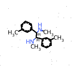 CN[C@H](c1cccc(C)c1)[C@H](NC)c1cccc(C)c1